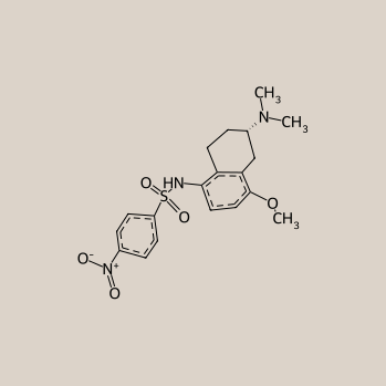 COc1ccc(NS(=O)(=O)c2ccc([N+](=O)[O-])cc2)c2c1C[C@@H](N(C)C)CC2